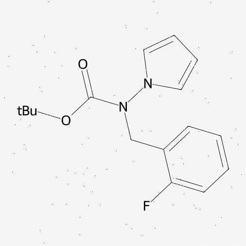 CC(C)(C)OC(=O)N(Cc1ccccc1F)n1cccc1